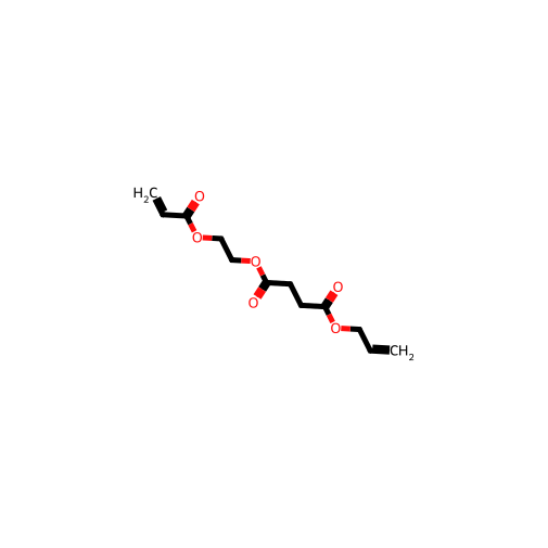 C=CCOC(=O)CCC(=O)OCCOC(=O)C=C